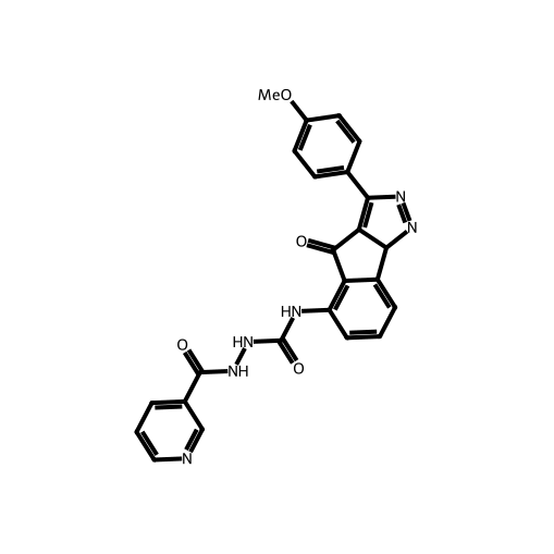 COc1ccc(C2=C3C(=O)c4c(NC(=O)NNC(=O)c5cccnc5)cccc4C3N=N2)cc1